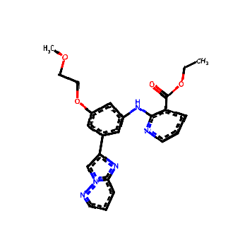 CCOC(=O)c1cccnc1Nc1cc(OCCOC)cc(-c2cn3ncccc3n2)c1